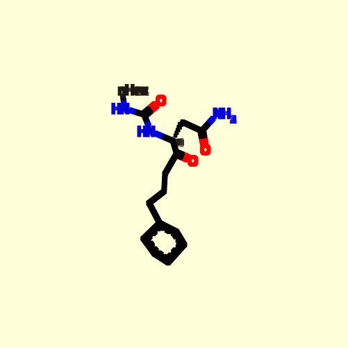 CCCCCCNC(=O)N[C@H](CC(N)=O)C(=O)CCCc1ccccc1